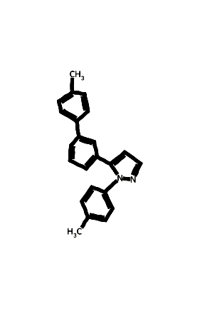 Cc1ccc(-c2cccc(-c3ccnn3-c3ccc(C)cc3)c2)cc1